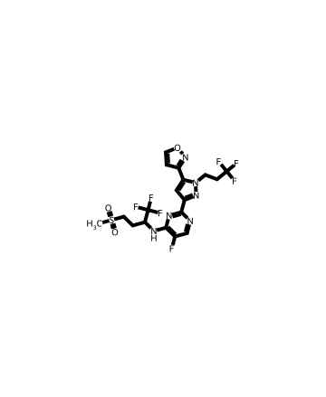 CS(=O)(=O)CCC(Nc1nc(-c2cc(-c3ccon3)n(CCC(F)(F)F)n2)ncc1F)C(F)(F)F